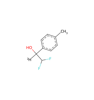 [2H]C(O)(c1ccc(C)cc1)C(F)F